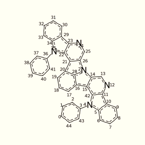 c1ccc(-n2c3ccccc3c3ncc4c(c5cccc6c7c8c(ncc7n4c56)c4ccccc4n8-c4ccccc4)c32)cc1